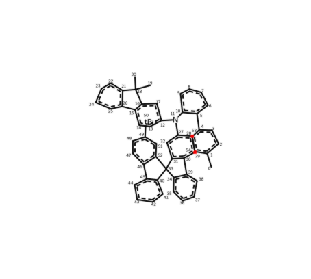 Cc1ccc(-c2ccccc2N(c2ccc3c(c2)C(C)(C)c2ccccc2-3)c2ccc3c(c2)C2(c4ccccc4-3)c3ccccc3-c3ccc(C(C)(C)C)cc32)cc1